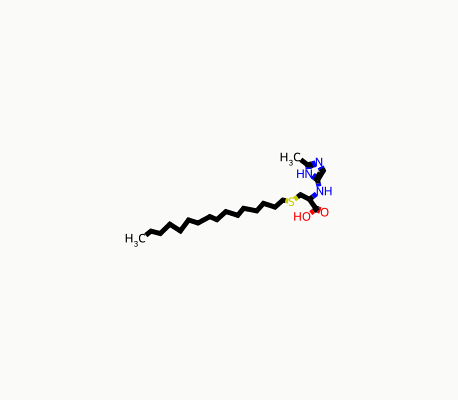 CCCCCCCCCCCCCCCCSCC(Nc1cnc(C)[nH]1)C(=O)O